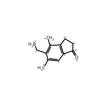 BCc1c(C)cc2c(c1C)CCC2=O